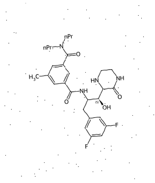 CCCN(CCC)C(=O)c1cc(C)cc(C(=O)NC(Cc2cc(F)cc(F)c2)[C@H](O)C2NCCNC2=O)c1